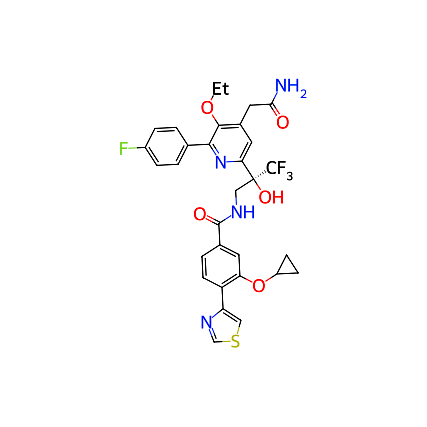 CCOc1c(CC(N)=O)cc([C@@](O)(CNC(=O)c2ccc(-c3cscn3)c(OC3CC3)c2)C(F)(F)F)nc1-c1ccc(F)cc1